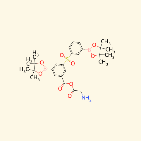 CC1(C)OB(c2cccc(S(=O)(=O)c3cc(B4OC(C)(C)C(C)(C)O4)cc(C(=O)OC(=O)CN)c3)c2)OC1(C)C